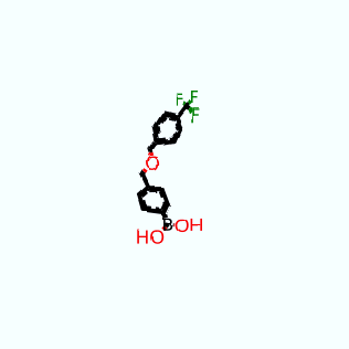 OB(O)c1ccc(COCc2ccc(C(F)(F)F)cc2)cc1